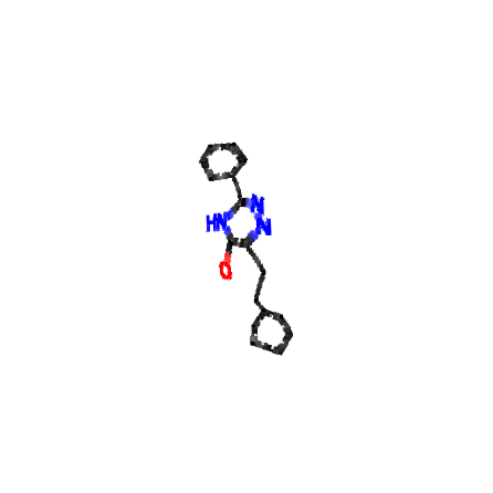 O=c1[nH]c(-c2ccccc2)nnc1CCc1ccccc1